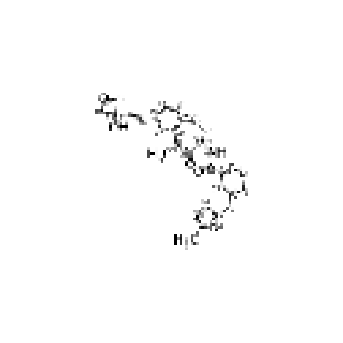 Cc1nc(Cc2ccnc(C(=O)N[C@H]3COc4ccc(C#CC5(O)COC5)cc4N(C)C3=O)c2)cs1